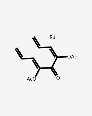 C=CC=C(OC(C)=O)C(=O)C(=CC=C)OC(C)=O.[Ru]